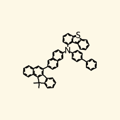 CC1(C)c2ccccc2-c2c(-c3ccc4cc(N(c5ccc(-c6ccccc6)cc5)c5cccc6sc7ccccc7c56)ccc4c3)cc3ccccc3c21